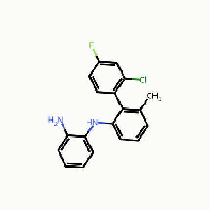 Cc1cccc(Nc2ccccc2N)c1-c1ccc(F)cc1Cl